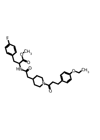 CCOc1ccc(CCC(=O)N2CCC(CC(=O)NC(Cc3ccc(F)cc3)C(=O)OC)CC2)cc1